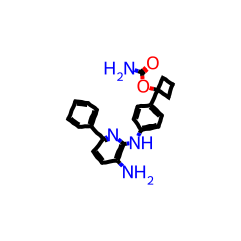 NC(=O)OC1(c2ccc(Nc3nc(-c4ccccc4)ccc3N)cc2)CCC1